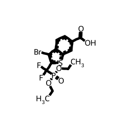 CCOP(=O)(OCC)C(F)(F)c1sc2cc(C(=O)O)ccc2c1Br